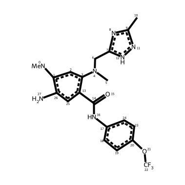 CNc1cc(N(C)Cc2nc(C)n[nH]2)c(C(=O)Nc2ccc(OC(F)(F)F)cc2)cc1N